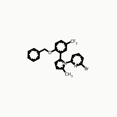 Cc1ccc(-c2cc(C(F)(F)F)ccc2OCc2ccccc2)n1-c1cccc(Br)n1